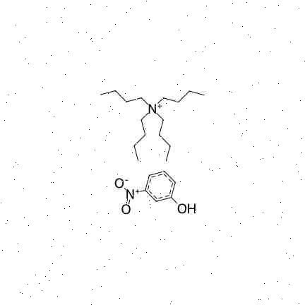 CCCC[N+](CCCC)(CCCC)CCCC.O=[N+]([O-])c1cccc(O)c1